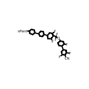 CCCCCc1ccc(-c2ccc(-c3cc(F)c(C(F)(F)Oc4ccc(-c5cc(F)c(C#N)c(F)c5)c(F)c4)c(F)c3)cc2)cc1